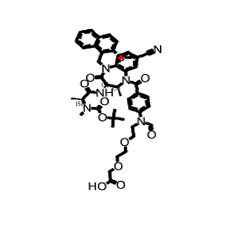 COc1ccc2ccccc2c1CN1C(=O)[C@@H](NC(=O)[C@H](C)N(C)C(=O)OC(C)(C)C)[C@H](C)N(C(=O)c2ccc(N(C=O)CCOCCOCC(=O)O)cc2)c2cc(C#N)ccc21